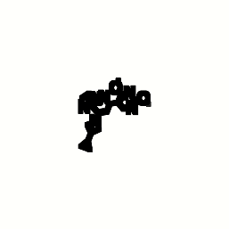 COc1ncc(-c2cc(N3CC(C4CC4)C3)c3nccn3n2)c(OC)n1